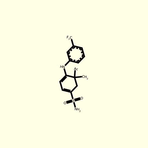 CC(=O)C1(C)CC(S(N)(=O)=O)=CC=C1Nc1cccc(C(F)(F)F)c1